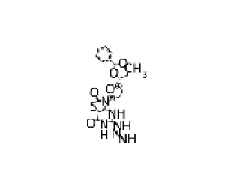 CCC(OC(=O)c1ccccc1)[C@@H]1CC[C@H](n2c3c(sc2=O)C(=O)NC(NN=N)N3)O1